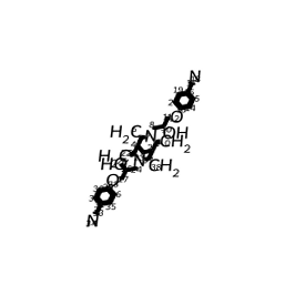 C=C1C2CC(C(=C)N1CC(O)COc1ccc(C#N)cc1)C(=C)N(CC(O)COc1ccc(C#N)cc1)C2=C